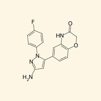 Nc1cc(-c2ccc3c(c2)NC(=O)CO3)n(-c2ccc(F)cc2)n1